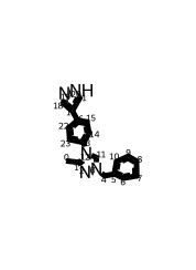 CC1=NN(Cc2ccccc2)CN1c1ccc(-c2cn[nH]c2)cc1